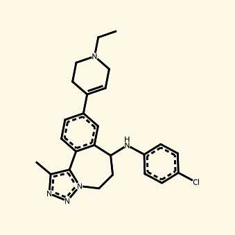 CCN1CC=C(c2ccc3c(c2)C(Nc2ccc(Cl)cc2)CCn2nnc(C)c2-3)CC1